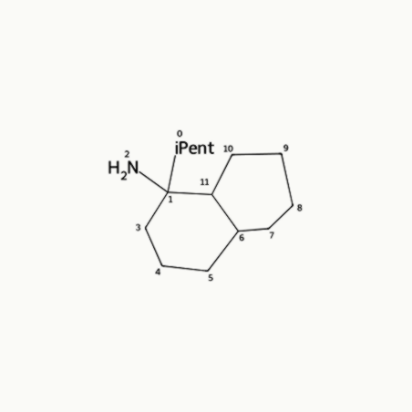 CCCC(C)C1(N)CCCC2CCCCC21